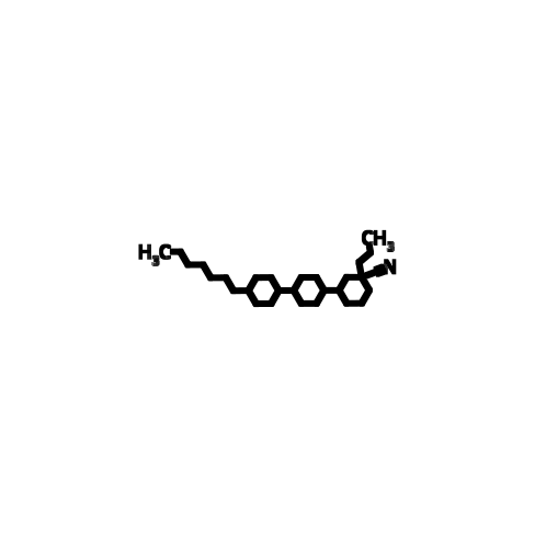 CCCCCCCC1CCC(C2CCC(C3CCCC(C#N)(CCC)C3)CC2)CC1